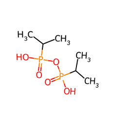 CC(C)P(=O)(O)OP(=O)(O)C(C)C